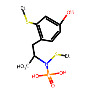 CCSc1cc(O)ccc1CC(C(=O)O)N(SCC)P(=O)(O)O